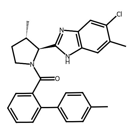 Cc1ccc(-c2ccccc2C(=O)N2CC[C@H](C)[C@H]2c2nc3cc(Cl)c(C)cc3[nH]2)cc1